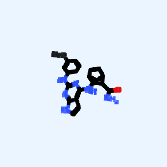 COc1cccc(Nc2nc(NC3C4C=CC(C4)C3C(N)=O)c3cc[nH]c3n2)c1